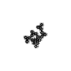 c1ccc(-c2ccc(-c3ccccc3)c(-c3nc(-c4cc(-c5cccc(-n6c7ccccc7c7cc(-c8ccc9c(c8)c8ccccc8n9-c8ccccc8)ccc76)c5)cc(-c5cccc(-n6c7ccccc7c7cc(-c8ccc9c(c8)c8ccccc8n9-c8ccccc8)ccc76)c5)c4)nc(-c4ccccc4-c4ccccc4)n3)c2)cc1